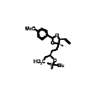 C=C[C@@H]1OC(c2ccc(OC)cc2)O[C@]1(C)CC[C@H](CC(=O)O)O[Si](C)(C)C(C)(C)C